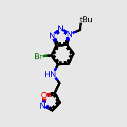 CC(C)(C)Cn1nnc2c(Br)c(NCc3ccno3)ccc21